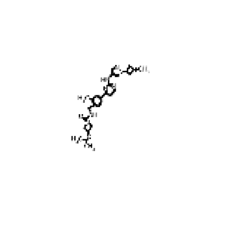 Cc1cc(-c2ccnc(Nc3cnn(C4CN(C)C4)c3)n2)ccc1CNC(=O)N1CC(OC(C)C)C1